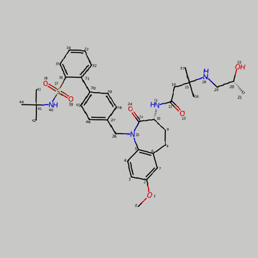 COc1ccc2c(c1)CC[C@@H](NC(=O)CC(C)(C)NC[C@@H](C)O)C(=O)N2Cc1ccc(-c2ccccc2S(=O)(=O)NC(C)(C)C)cc1